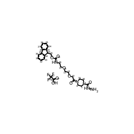 NNC(=O)N1CCN(C(=O)COCCOCCNC(=O)OCC2c3ccccc3-c3ccccc32)CC1.O=C(O)C(F)(F)F